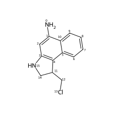 Nc1cc2c(c3ccccc13)C(CCl)CN2